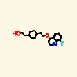 OCCc1ccc(CCOc2ccnc3c(F)cccc23)cc1